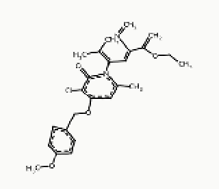 C=N/C(=C\C(=C(C)C)n1c(C)cc(OCc2ccc(OC)cc2)c(Cl)c1=O)C(=C)OCC